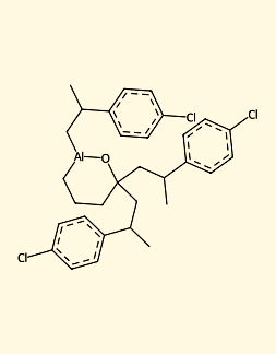 CC([CH2][Al]1[CH2]CCC(CC(C)c2ccc(Cl)cc2)(CC(C)c2ccc(Cl)cc2)[O]1)c1ccc(Cl)cc1